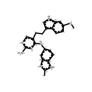 COc1ccc2c(CCc3cnc(N)nc3Nc3ccc4[nH]c(C)nc4c3)c[nH]c2c1